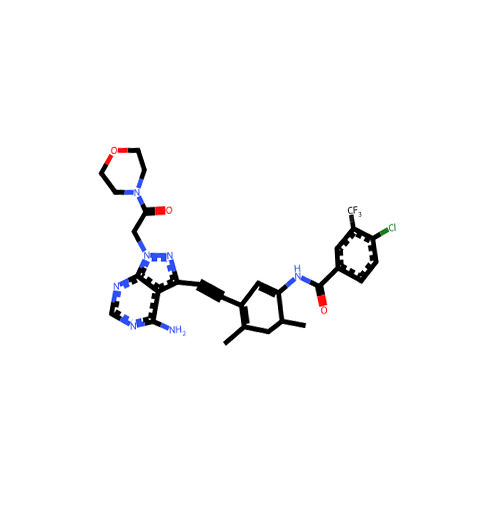 CC1=C(C#Cc2nn(CC(=O)N3CCOCC3)c3ncnc(N)c23)C=C(NC(=O)c2ccc(Cl)c(C(F)(F)F)c2)C(C)C1